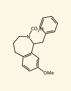 CCOC(=O)N1CCCc2ccc(OC)cc2C1Cc1ccccc1